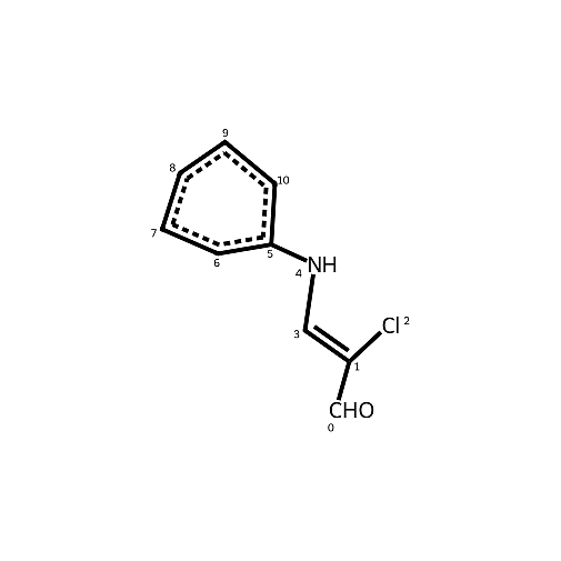 O=CC(Cl)=CNc1ccccc1